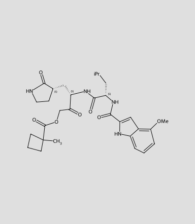 COc1cccc2[nH]c(C(=O)N[C@@H](CC(C)C)C(=O)N[C@@H](C[C@@H]3CCNC3=O)C(=O)COC(=O)C3(C)CCC3)cc12